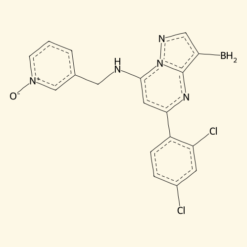 Bc1cnn2c(NCc3ccc[n+]([O-])c3)cc(-c3ccc(Cl)cc3Cl)nc12